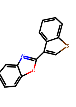 [c]1sc2ccccc2c1-c1nc2ccccc2o1